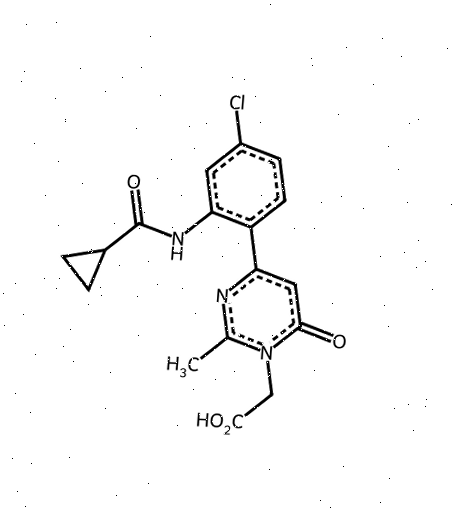 Cc1nc(-c2ccc(Cl)cc2NC(=O)C2CC2)cc(=O)n1CC(=O)O